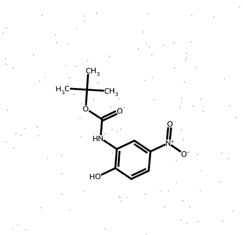 CC(C)(C)OC(=O)Nc1cc([N+](=O)[O-])ccc1O